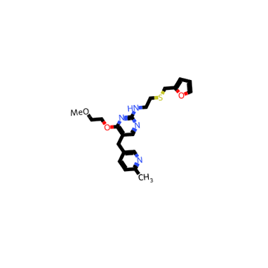 COCCOc1nc(NCCSCc2ccco2)ncc1Cc1ccc(C)nc1